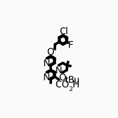 Cc1ncc(-c2ccc(OCCc3cc(F)cc(Cl)c3)cn2)c(N2CCC(C)(C)CC2)c1C(OC(C)(C)C)C(=O)O